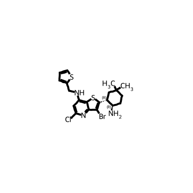 CC1(C)CC[C@@H](N)[C@H](c2sc3c(NCc4cccs4)cc(Cl)nc3c2Br)C1